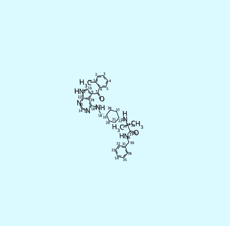 Cc1ccccc1C(=O)c1c[nH]c2ncnc(NC[C@H]3CC[C@@H](NC(C)(C)C(=O)NCc4ccccc4)CC3)c12